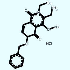 CCCCOc1c2c(c(=O)n(CC(C)(C)C)c1CN)C=CC(OCc1ccccc1)C2=O.Cl